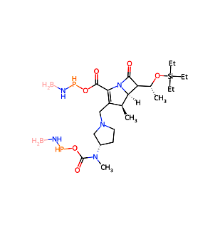 BNPOC(=O)C1=C(CN2CC[C@H](N(C)C(=O)OPNB)C2)[C@H](C)[C@@H]2C([C@@H](C)O[Si](CC)(CC)CC)C(=O)N12